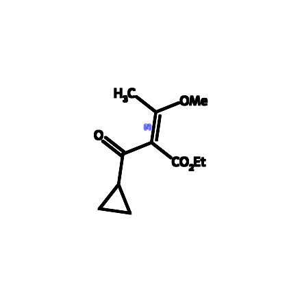 CCOC(=O)/C(C(=O)C1CC1)=C(/C)OC